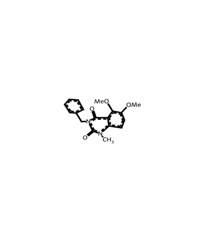 COc1ccc2c(c1OC)c(=O)n(Cc1ccccc1)c(=O)n2C